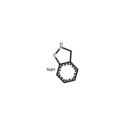 [NaH].c1ccc2c(c1)CNS2